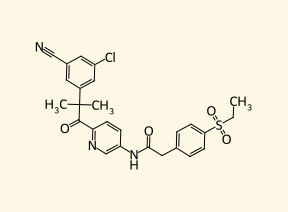 CCS(=O)(=O)c1ccc(CC(=O)Nc2ccc(C(=O)C(C)(C)c3cc(Cl)cc(C#N)c3)nc2)cc1